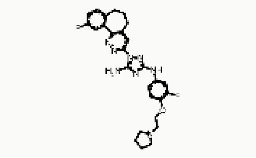 Nc1nc(Nc2ccc(OCCN3CCCC3)c(F)c2)nn1-c1cc2c(nn1)-c1cc(F)ccc1CCC2